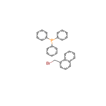 BrCc1cccc2ccccc12.c1ccc(P(c2ccccc2)c2ccccc2)cc1